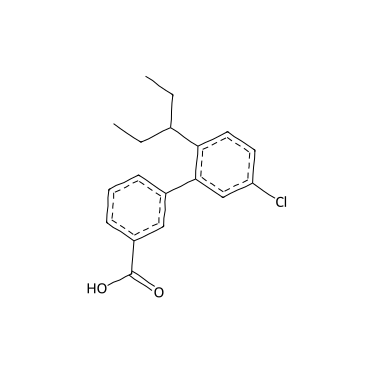 CCC(CC)c1ccc(Cl)cc1-c1cccc(C(=O)O)c1